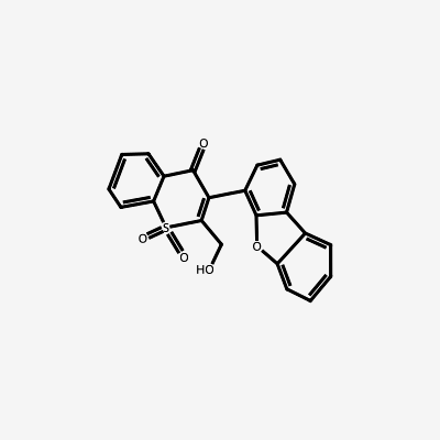 O=C1C(c2cccc3c2oc2ccccc23)=C(CO)S(=O)(=O)c2ccccc21